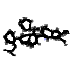 CN(C)Cc1ccccc1-c1cc2c(N[C@H]3CCOC3)c(/C(N)=N/c3cc(F)c(O)cc3Cl)cnn2c1